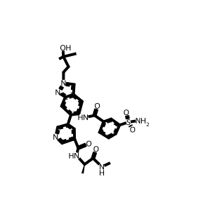 CNC(=O)[C@@H](C)NC(=O)c1cncc(-c2cc3nn(CCC(C)(C)O)cc3cc2NC(=O)c2cccc(S(N)(=O)=O)c2)c1